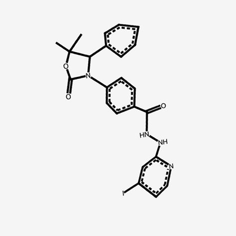 CC1(C)OC(=O)N(c2ccc(C(=O)NNc3cc(I)ccn3)cc2)C1c1ccccc1